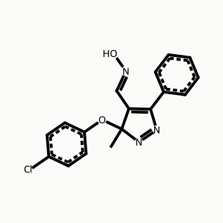 CC1(Oc2ccc(Cl)cc2)N=NC(c2ccccc2)=C1C=NO